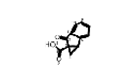 O=C(O)C12CC1c1ccccc1C2=O